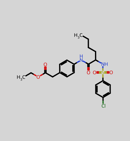 CCCCC(NS(=O)(=O)c1ccc(Cl)cc1)C(=O)Nc1ccc(CC(=O)OCC)cc1